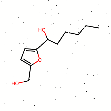 CCCCCC(O)c1ccc(CO)o1